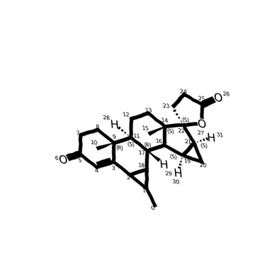 CC1C2C3=CC(=O)CC[C@]3(C)[C@H]3CC[C@@]4(C)C([C@@H]3C12)[C@@H]1C[C@@H]1[C@@]41CCC(=O)O1